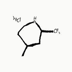 CC1CCNC(C(F)(F)F)C1.Cl